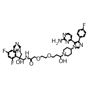 Nc1nccc(-c2c(-c3ccc(F)cc3)ncn2C2CCN(C(O)CCOCCOCC(=O)NCC(O)(Cn3cncn3)c3ccc(F)cc3F)CC2)n1